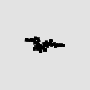 CCN(c1cc(-c2ccnc(OC)c2)c[nH]c1=O)[C@@H]1CCN(C(=O)C=CCNC)C1